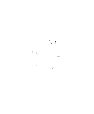 O[Si](O)(O)O.[SeH2]